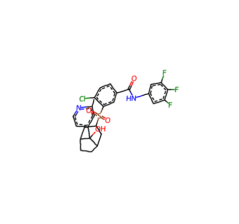 Cc1cc(C2(O)C3CCC2CC(S(=O)(=O)c2cc(C(=O)Nc4cc(F)c(F)c(F)c4)ccc2Cl)C3)ccn1